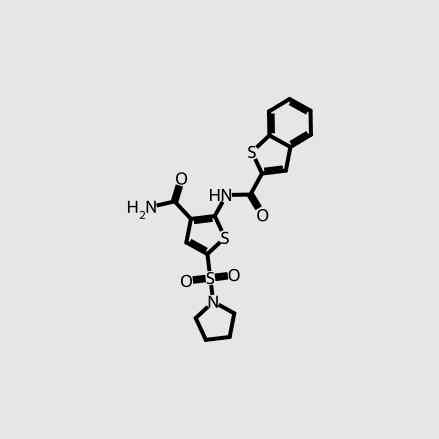 NC(=O)c1cc(S(=O)(=O)N2CCCC2)sc1NC(=O)c1cc2ccccc2s1